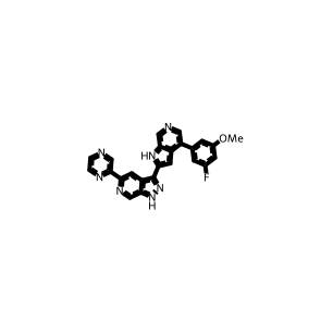 COc1cc(F)cc(-c2cncc3[nH]c(-c4n[nH]c5cnc(-c6cnccn6)cc45)cc23)c1